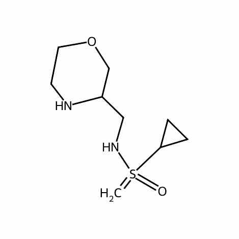 C=S(=O)(NCC1COCCN1)C1CC1